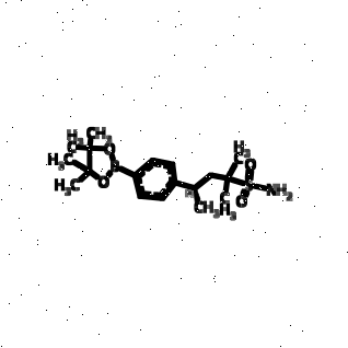 C[C@H](CC(C)(C)S(N)(=O)=O)c1ccc(B2OC(C)(C)C(C)(C)O2)cc1